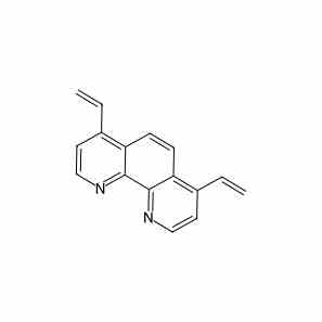 C=Cc1ccnc2c1ccc1c(C=C)ccnc12